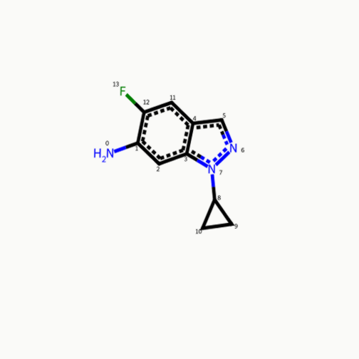 Nc1cc2c(cnn2C2CC2)cc1F